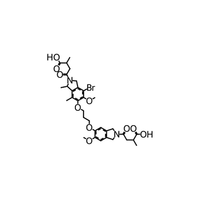 COc1cc2c(cc1OCCCOc1c(C)c3c(c(Br)c1OC)CN(C(=O)CC(C)C(=O)O)C3C)CN(C(=O)CC(C)C(=O)O)C2